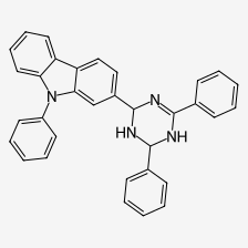 c1ccc(C2=NC(c3ccc4c5ccccc5n(-c5ccccc5)c4c3)NC(c3ccccc3)N2)cc1